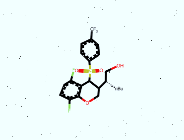 CCCC[C@@H](CO)C1COc2c(F)ccc(F)c2C1S(=O)(=O)c1ccc(C(F)(F)F)cc1